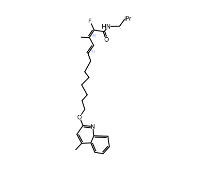 CC(/C=C/CCCCCCCOc1cc(C)c2ccccc2n1)=C(\F)C(=O)NCC(C)C